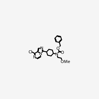 COCCN(C(=O)OCc1ccccc1)C1CCC(c2ncc3c(Cl)nccn23)CC1